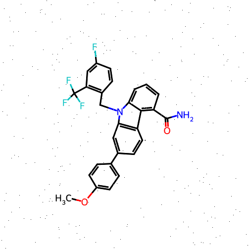 COc1ccc(-c2c[c]c3c4c(C(N)=O)cccc4n(Cc4ccc(F)cc4C(F)(F)F)c3c2)cc1